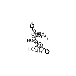 CC(C)C[C@H](NC(=O)OCc1ccncc1)C(=O)C1CN(C(=O)[C@H](CC(C)C)NC(=O)OCc2ccccc2)CC1O